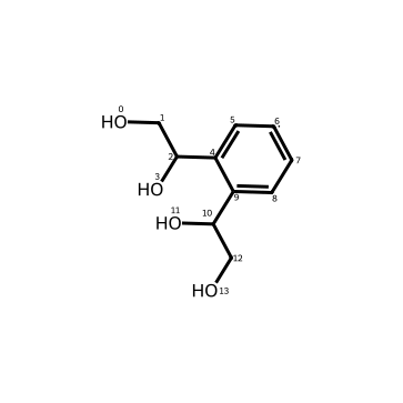 OCC(O)c1c[c]ccc1C(O)CO